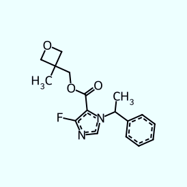 CC(c1ccccc1)n1cnc(F)c1C(=O)OCC1(C)COC1